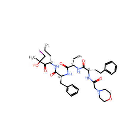 CC(C)CC[C@H](NC(=O)[C@H](Cc1ccccc1)NC(=O)[C@H](CC(C)C)NC(=O)[C@H](CCc1ccccc1)NC(=O)CN1CCOCC1)C(=O)C(C)(O)CI